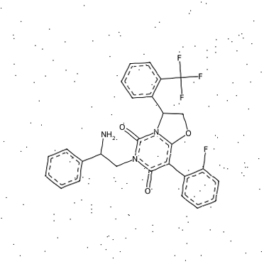 NC(Cn1c(=O)c(-c2ccccc2F)c2n(c1=O)C(c1ccccc1C(F)(F)F)CO2)c1ccccc1